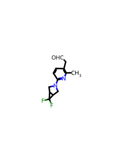 Cc1nc(N2CC3C(C2)C3(F)F)ccc1CC=O